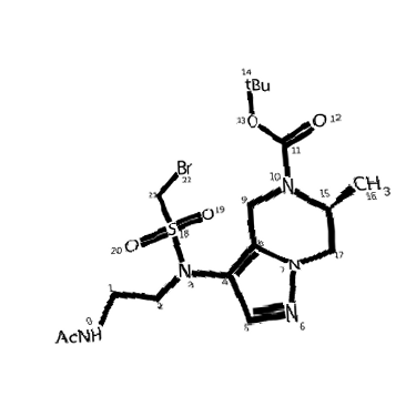 CC(=O)NCCN(c1cnn2c1CN(C(=O)OC(C)(C)C)[C@@H](C)C2)S(=O)(=O)CBr